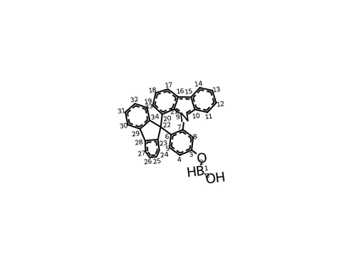 OBOc1ccc2c(c1)-n1c3ccccc3c3cccc(c31)C21c2ccccc2-c2ccccc21